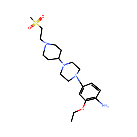 CCOc1cc(N2CCN(C3CCN(CCS(C)(=O)=O)CC3)CC2)ccc1N